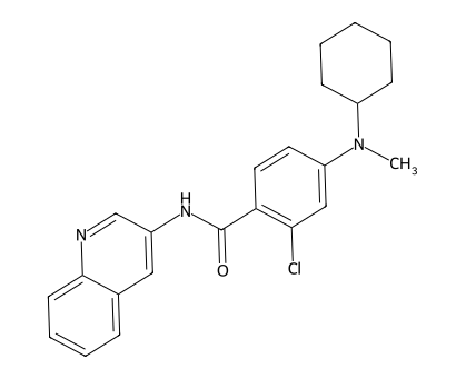 CN(c1ccc(C(=O)Nc2cnc3ccccc3c2)c(Cl)c1)C1CCCCC1